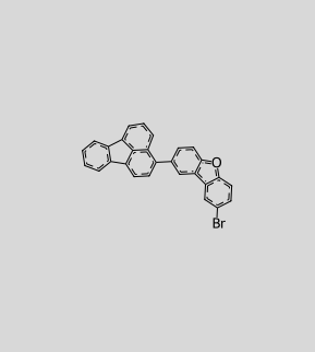 Brc1ccc2oc3ccc(-c4ccc5c6c(cccc46)-c4ccccc4-5)cc3c2c1